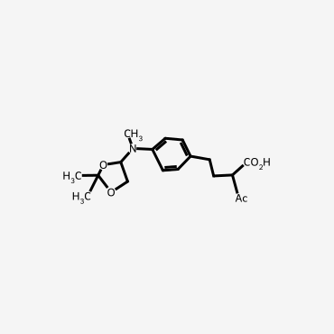 CC(=O)C(CCc1ccc(N(C)C2COC(C)(C)O2)cc1)C(=O)O